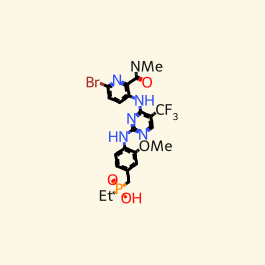 CCP(=O)(O)Cc1ccc(Nc2ncc(C(F)(F)F)c(Nc3ccc(Br)nc3C(=O)NC)n2)c(OC)c1